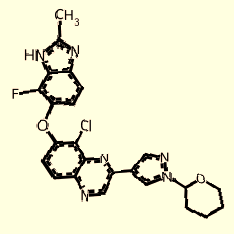 Cc1nc2ccc(Oc3ccc4ncc(-c5cnn(C6CCCCO6)c5)nc4c3Cl)c(F)c2[nH]1